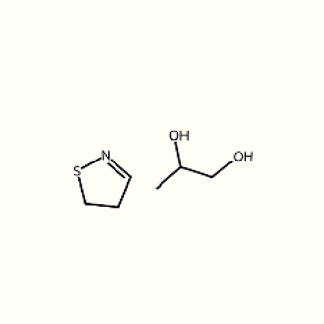 C1=NSCC1.CC(O)CO